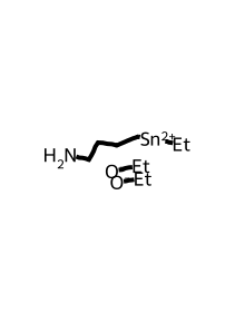 CC[O-].CC[O-].C[CH2][Sn+2][CH2]CCCN